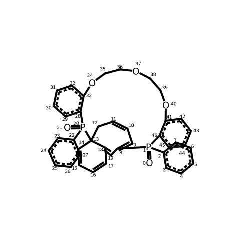 O=P1(c2ccccc2)C2=C\C=C/CC3(C=CC=C/C3=C\2)P(=O)(c2ccccc2)c2ccccc2OCCOCCOc2ccccc21